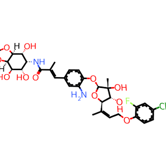 C/C(=C/COc1ccc(Cl)cc1F)[C@H]1O[C@@H](Oc2ccc(/C=C(\C)C(=O)N[C@@H]3[C@H](O)[C@@H](O)[C@H]4OCO[C@H]4[C@@H]3O)cc2N)[C@](C)(O)[C@@H]1O